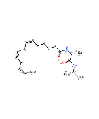 CCCCC/C=C\C/C=C\C/C=C\CCCCC(=O)N[C@H](C(=O)N[C@H](C(=O)O)[C@@H](C)CC)[C@@H](C)CC